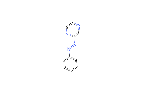 c1ccc(N=Nc2cnccn2)cc1